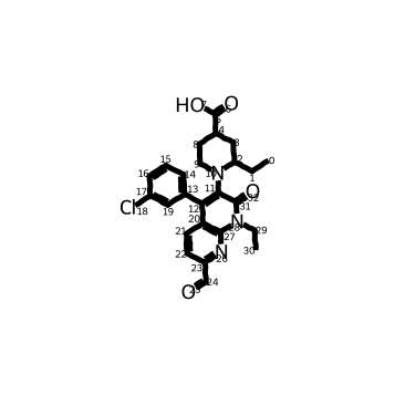 CCC1CC(C(=O)O)CCN1c1c(-c2cccc(Cl)c2)c2ccc(C=O)nc2n(CC)c1=O